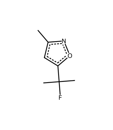 Cc1cc(C(C)(C)F)on1